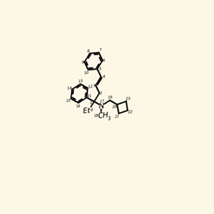 CCC(CC=Cc1ccccc1)(c1ccccc1)N(C)CC1CCC1